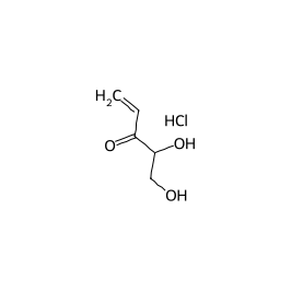 C=CC(=O)C(O)CO.Cl